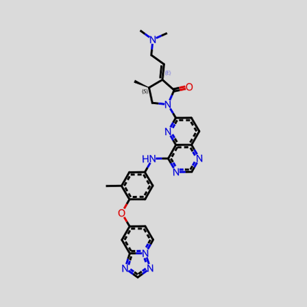 Cc1cc(Nc2ncnc3ccc(N4C[C@@H](C)/C(=C\CN(C)C)C4=O)nc23)ccc1Oc1ccn2ncnc2c1